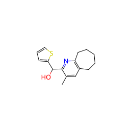 Cc1cc2c(nc1C(O)c1cccs1)CCCCC2